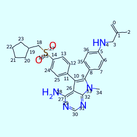 C=C(C)CNc1ccc(-c2c(-c3ccc(S(=O)(=O)CC4CCCC4)cc3)c3c(N)ncnc3n2C)cc1